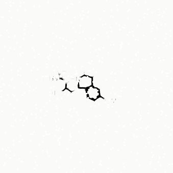 COc1ccc2c(c1)CCN[C@@H]2CC(O[SiH](C)C)C(C)(C)C